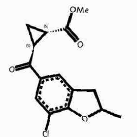 COC(=O)[C@H]1C[C@@H]1C(=O)c1cc(Cl)c2c(c1)CC(C)O2